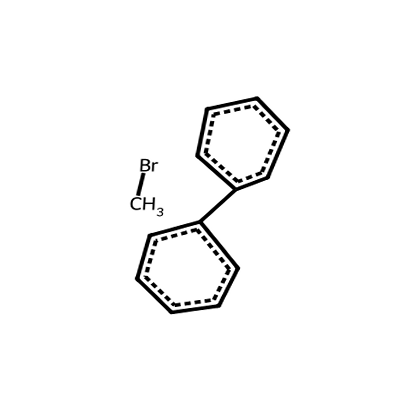 CBr.c1ccc(-c2ccccc2)cc1